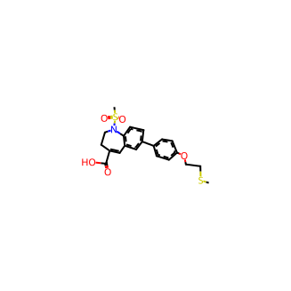 CSCCOc1ccc(-c2ccc3c(c2)C=C(C(=O)O)CCN3S(C)(=O)=O)cc1